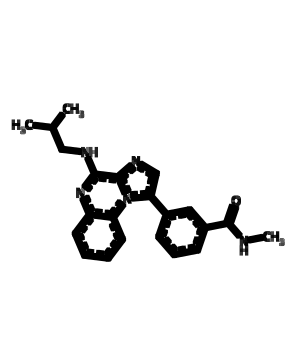 CNC(=O)c1cccc(-c2cnc3c(NCC(C)C)nc4ccccc4n23)c1